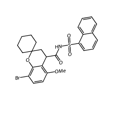 COc1ccc(Br)c2c1C(C(=O)NS(=O)(=O)c1cccc3ccccc13)CC1(CCCCC1)O2